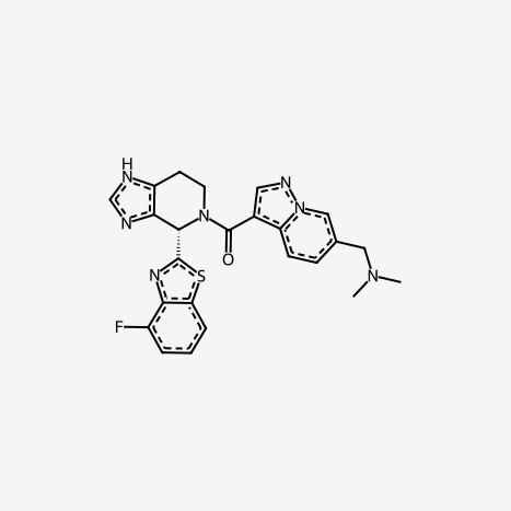 CN(C)Cc1ccc2c(C(=O)N3CCc4[nH]cnc4[C@H]3c3nc4c(F)cccc4s3)cnn2c1